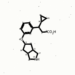 O=C(O)CC(c1cccc(OC2CC3CNCC3C2)c1)C1CC1